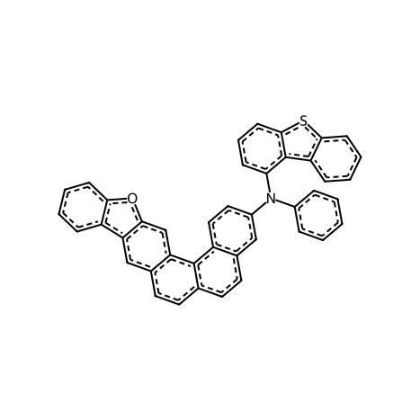 c1ccc(N(c2ccc3c(ccc4ccc5cc6c(cc5c43)oc3ccccc36)c2)c2cccc3sc4ccccc4c23)cc1